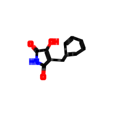 O=C1NC(=O)C(Cc2ccccc2)=C1O